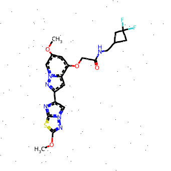 COc1cc(OCC(=O)NCC2CC(F)(F)C2)c2cc(-c3cn4nc(OC)sc4n3)nn2c1